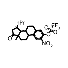 CCC[C@@H]1CC(=O)C2(C)CCC3c4cc([N+](=O)[O-])c(OS(=O)(=O)C(F)(F)F)cc4CCC3C12